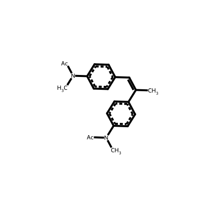 CC(=O)N(C)c1ccc(C=C(C)c2ccc(N(C)C(C)=O)cc2)cc1